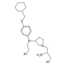 CC(C)CCN(c1ccc(OCC2CCCCC2)cc1)C1CCN(CC(N)CC(C)C)C1